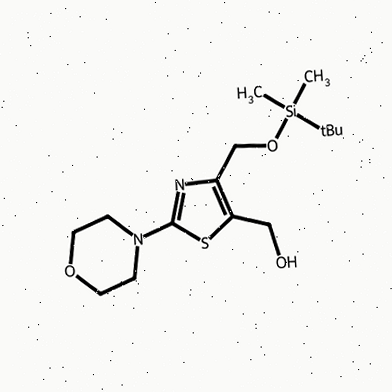 CC(C)(C)[Si](C)(C)OCc1nc(N2CCOCC2)sc1CO